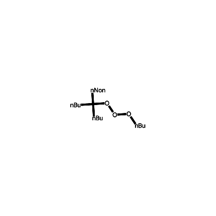 CCCCCCCCCC(CCCC)(CCCC)OOOCCCC